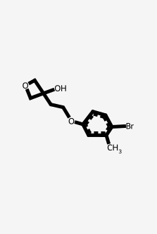 Cc1cc(OCCC2(O)COC2)ccc1Br